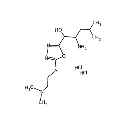 CC(C)CC(N)C(O)c1nnc(SCCN(C)C)o1.Cl.Cl